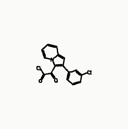 O=C(Cl)C(=O)c1c(-c2cccc(Cl)c2)cc2ccccn12